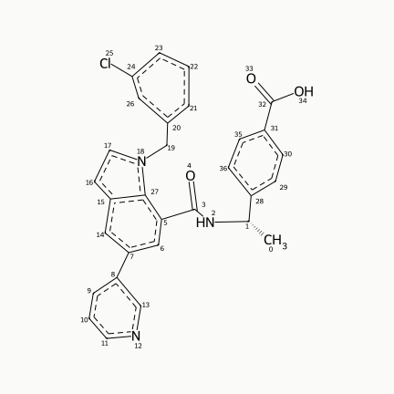 C[C@H](NC(=O)c1cc(-c2cccnc2)cc2ccn(Cc3cccc(Cl)c3)c12)c1ccc(C(=O)O)cc1